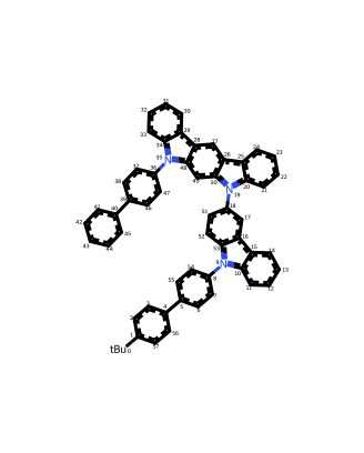 CC(C)(C)c1ccc(-c2ccc(-n3c4ccccc4c4cc(-n5c6ccccc6c6cc7c8ccccc8n(-c8ccc(-c9ccccc9)cc8)c7cc65)ccc43)cc2)cc1